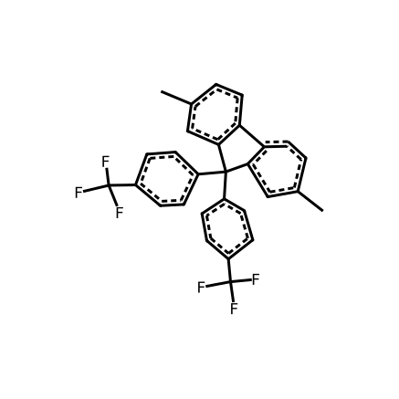 Cc1ccc2c(c1)C(c1ccc(C(F)(F)F)cc1)(c1ccc(C(F)(F)F)cc1)c1cc(C)ccc1-2